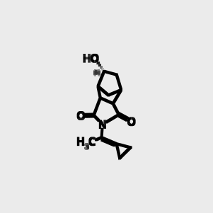 CC(=C1CC1)N1C(=O)C2C3CC(C2C1=O)[C@H](O)C3